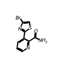 NC(=O)c1ncccc1-c1nc(Br)cs1